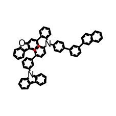 c1cc(-c2ccc(N(c3ccc(-c4cccc(-n5c6ccccc6c6ccccc65)c4)cc3)c3ccccc3-c3ccc4c(c3)oc3ccccc34)cc2)cc(-c2ccc3ccccc3c2)c1